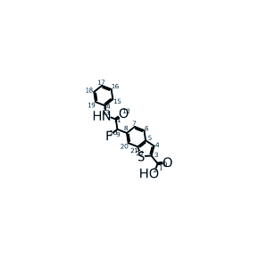 O=C(O)c1cc2ccc(C(F)C(=O)Nc3ccccc3)cc2s1